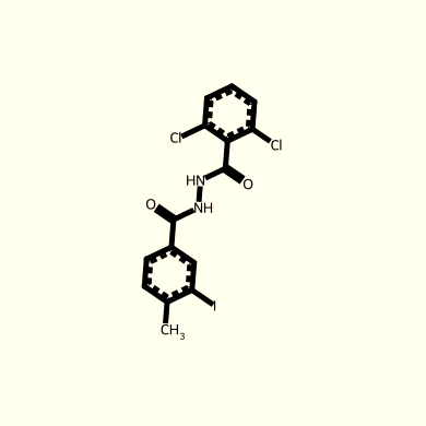 Cc1ccc(C(=O)NNC(=O)c2c(Cl)cccc2Cl)cc1I